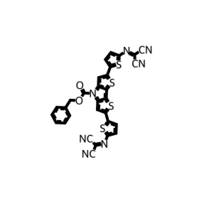 N#CC(C#N)=Nc1ccc(-c2cc3c(s2)c2sc(-c4ccc(N=C(C#N)C#N)s4)cc2n3C(=O)OCc2ccccc2)s1